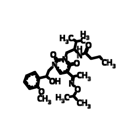 CCCC(=O)NC(Cn1c(=O)c(/C(C)=N/OC(C)C)cn(CC(O)c2ccccc2OC)c1=O)C(C)C